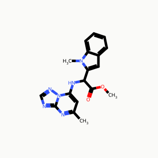 COC(=O)C(Nc1cc(C)nc2ncnn12)c1cc2ccccc2n1C